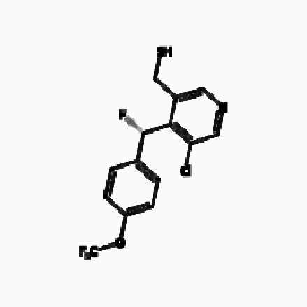 F[C@@H](c1ccc(OC(F)(F)F)cc1)c1c(Cl)cncc1CS